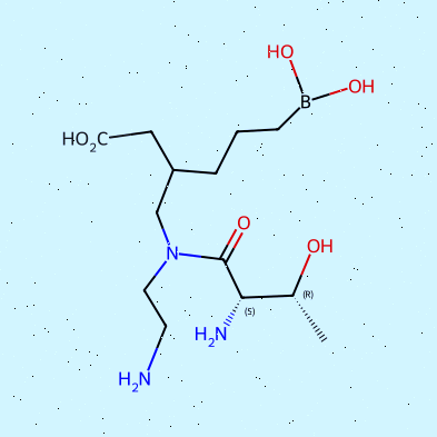 C[C@@H](O)[C@H](N)C(=O)N(CCN)CC(CCCB(O)O)CC(=O)O